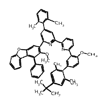 COc1ccc(-c2c(C)cc(C(C)(C)C)cc2C)cc1-c1cccc(-c2cc(-c3c(C)cccc3C)cc(-c3cc4oc5ccccc5c4c(-c4ccccc4)c3OC)n2)n1